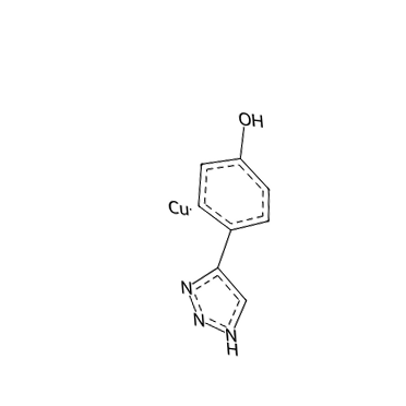 Oc1ccc(-c2c[nH]nn2)cc1.[Cu]